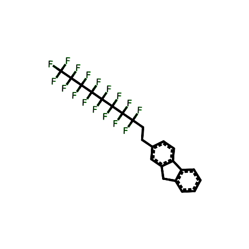 FC(F)(F)C(F)(F)C(F)(F)C(F)(F)C(F)(F)C(F)(F)C(F)(F)C(F)(F)CCc1ccc2c(c1)Cc1ccccc1-2